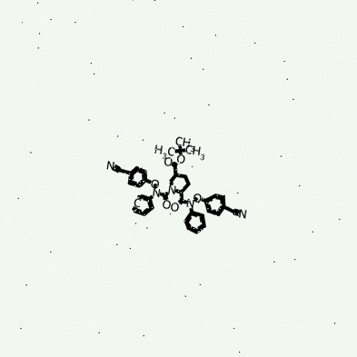 CC(C)(C)OC(=O)C1CCC(C(=O)N(Oc2ccc(C#N)cc2)c2ccccc2)N(C(=O)N(Oc2ccc(C#N)cc2)c2ccccc2)C1